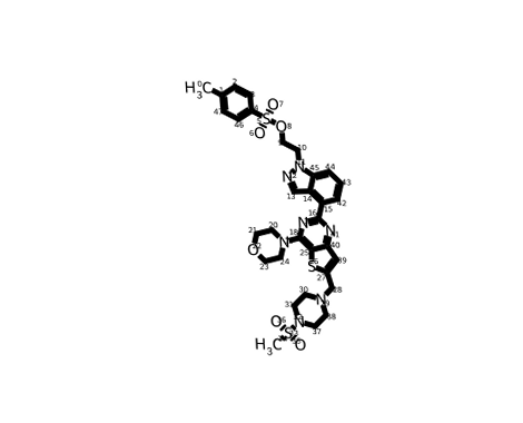 Cc1ccc(S(=O)(=O)OCCn2ncc3c(-c4nc(N5CCOCC5)c5sc(CN6CCN(S(C)(=O)=O)CC6)cc5n4)cccc32)cc1